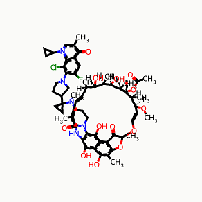 CO[C@H]1/C=C/O[C@@]2(C)Oc3c(C)c(O)c4c(O)c(c(N5CCC(N(C)C6(C7CCN(c8c(F)cc9c(=O)c(C)cn(C%10CC%10)c9c8Cl)C7)CC6)CC5)c(O)c4c3C2=O)NC(=O)/C(C)=C\C=C\[C@H](C)[C@H](O)[C@@H](C)[C@@H](O)[C@@H](C)[C@H](OC(C)=O)[C@@H]1C